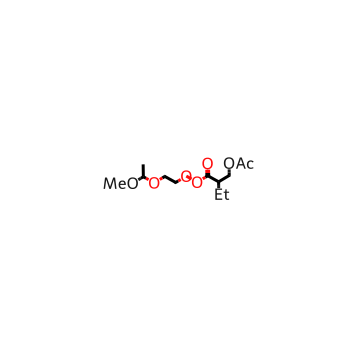 CCC(COC(C)=O)C(=O)OOCCOC(C)OC